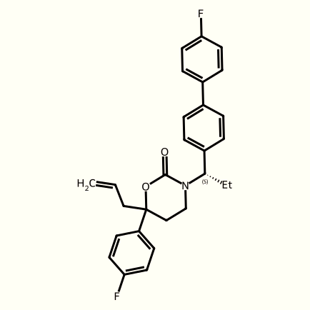 C=CCC1(c2ccc(F)cc2)CCN([C@@H](CC)c2ccc(-c3ccc(F)cc3)cc2)C(=O)O1